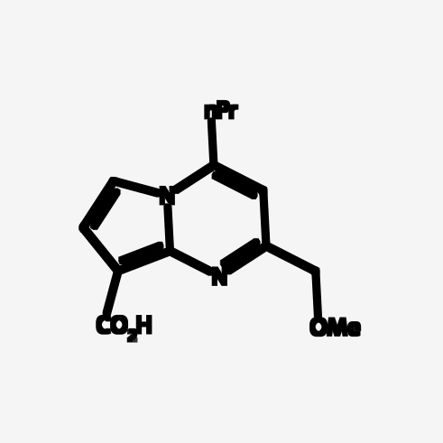 CCCc1cc(COC)nc2c(C(=O)O)ccn12